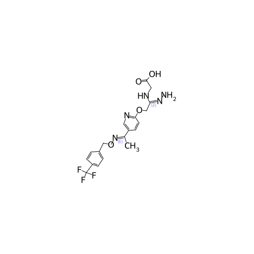 C/C(=N\OCc1ccc(C(F)(F)F)cc1)c1ccc(OC/C(=N/N)NCC(=O)O)nc1